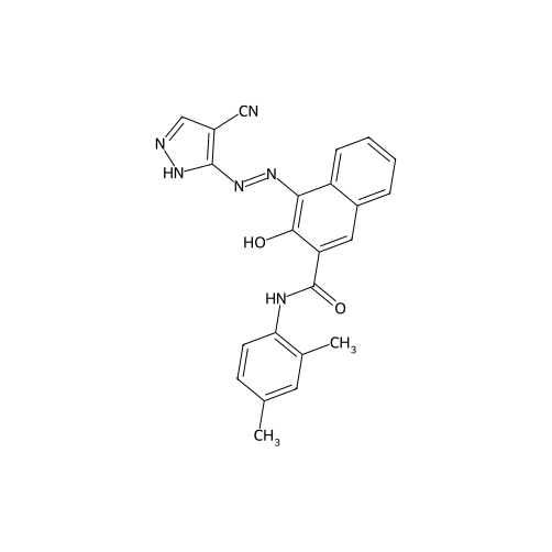 Cc1ccc(NC(=O)c2cc3ccccc3c(/N=N/c3[nH]ncc3C#N)c2O)c(C)c1